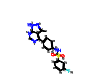 Cc1n[nH]c2ncnc(-c3ccc(NS(=O)(=O)c4cccc(F)c4)cc3)c12